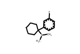 CN(C)C1(c2cccc(F)c2)CC[C]CC1